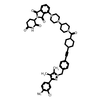 Cc1c(-c2ccc(C#N)c(Cl)c2)nn(Cc2ccc(C#CC3CCC(C(=O)N4CCC(N5CCN(c6cccc7c6C(=O)N(C6CCC(=O)NC6=O)C7=O)CC5)CC4)CC3)cc2)c1C